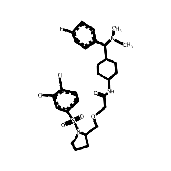 CN(C)C(c1ccc(F)cc1)C1CCC(NC(=O)COCC2CCCN2S(=O)(=O)c2ccc(Cl)c(Cl)c2)CC1